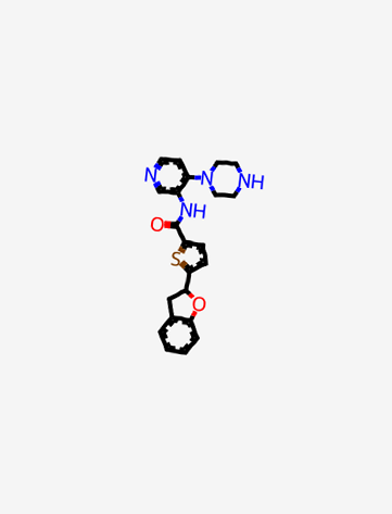 O=C(Nc1cnccc1N1CCNCC1)c1ccc(C2Cc3ccccc3O2)s1